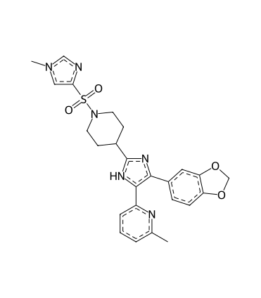 Cc1cccc(-c2[nH]c(C3CCN(S(=O)(=O)c4cn(C)cn4)CC3)nc2-c2ccc3c(c2)OCO3)n1